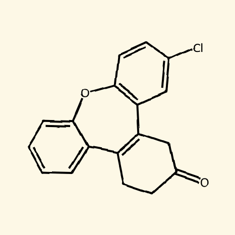 O=C1CCC2=C(C1)c1cc(Cl)ccc1Oc1ccccc12